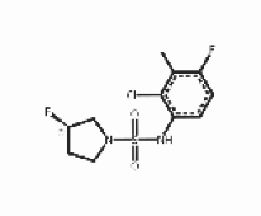 O=S(=O)(Nc1ccc(F)c(I)c1Cl)N1CC[C@@H](F)C1